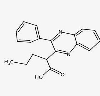 CCCC(C(=O)O)c1nc2ccccc2nc1-c1ccccc1